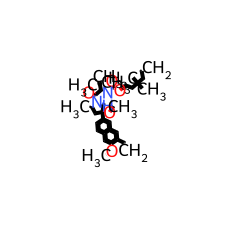 C=CCC(C)(C)CCOC(=O)N[C@H](C(=O)N1C[C@](OC)(c2ccc3cc(OC)c(C=C)cc3c2)C[C@H]1C)C(C)(C)C